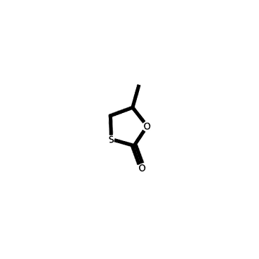 CC1CSC(=O)O1